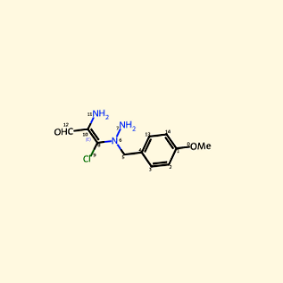 COc1ccc(CN(N)/C(Cl)=C(\N)C=O)cc1